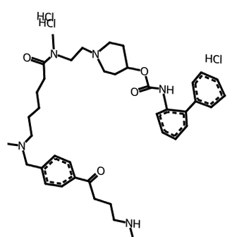 CNCCCC(=O)c1ccc(CN(C)CCCCCC(=O)N(C)CCN2CCC(OC(=O)Nc3ccccc3-c3ccccc3)CC2)cc1.Cl.Cl.Cl